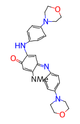 CNC1=CC(=O)C(Nc2ccc(N3CCOCC3)cc2)=C/C1=N/c1ccc(N2CCOCC2)cc1